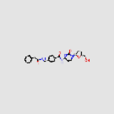 O=C(Cc1ccccc1)NCc1ccc(C(=O)Nc2ccn([C@H]3CC[C@@H](CO)O3)c(=O)n2)cc1